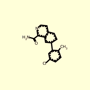 Cc1ccc(Cl)cc1-c1ccc2c[c]nc(C(N)=O)c2c1